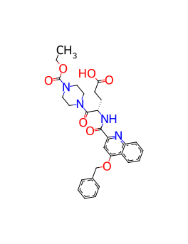 CCOC(=O)N1CCN(C(=O)[C@H](CCC(=O)O)NC(=O)c2cc(OCc3ccccc3)c3ccccc3n2)CC1